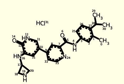 Cc1cc(NC(=O)c2cc(-c3c[nH]c(=O)c(NC4CNC4)c3)ccn2)ccc1C(C)C.Cl